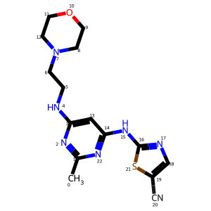 Cc1nc(NCCN2CCOCC2)cc(Nc2ncc(C#N)s2)n1